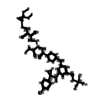 CCC1(CC)CC1CNC(=O)C(=O)NC[C@H](NC(=O)c1ccc(Nc2nc(NC3(c4ccc(Cl)cc4)CC3)nc(OCC(F)(F)F)n2)cc1)C(=O)OC